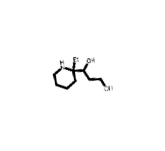 CCC1(C(O)CCO)CCCCN1